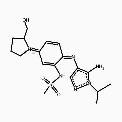 CC(C)n1ncc(/N=C2C=C/C(=[N+]3/CCCC3CO)C=C/2NS(C)(=O)=O)c1N